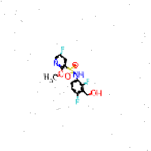 COc1ncc(F)cc1S(=O)(=O)Nc1ccc(F)c(CO)c1F